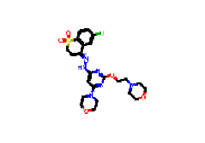 O=S1(=O)CC/C(=N\Nc2cc(N3CCOCC3)nc(OCCN3CCOCC3)n2)c2cc(Cl)ccc21